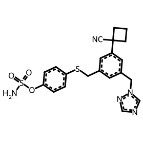 N#CC1(c2cc(CSc3ccc(OS(N)(=O)=O)cc3)cc(Cn3cncn3)c2)CCC1